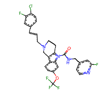 O=C(NCc1ccnc(F)c1)n1c2c(c3ccc(OC(F)(F)F)cc31)CN(CC=Cc1ccc(Cl)c(F)c1)CC2